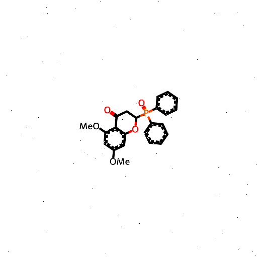 COc1cc(OC)c2c(c1)OC(P(=O)(c1ccccc1)c1ccccc1)CC2=O